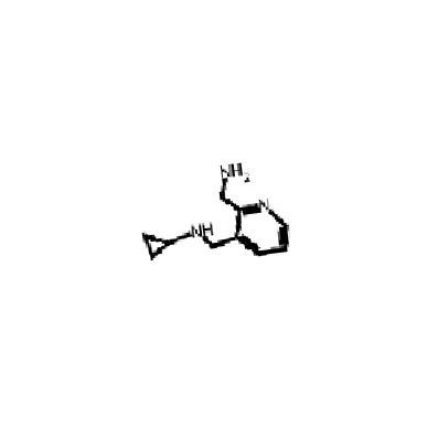 NCc1ncccc1CNC1CC1